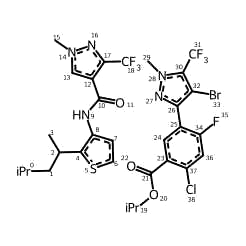 CC(C)CC(C)c1sccc1NC(=O)c1cn(C)nc1C(F)(F)F.CC(C)OC(=O)c1cc(-c2nn(C)c(C(F)(F)F)c2Br)c(F)cc1Cl